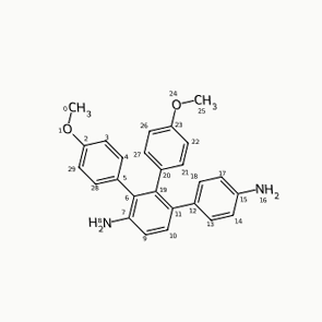 COc1ccc(-c2c(N)ccc(-c3ccc(N)cc3)c2-c2ccc(OC)cc2)cc1